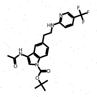 CC(=O)Nc1cn(C(=O)OC(C)(C)C)c2ccc(CCNc3ccc(C(F)(F)F)cn3)cc12